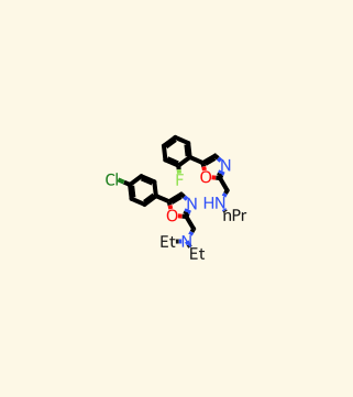 CCCNCc1ncc(-c2ccccc2F)o1.CCN(CC)Cc1ncc(-c2ccc(Cl)cc2)o1